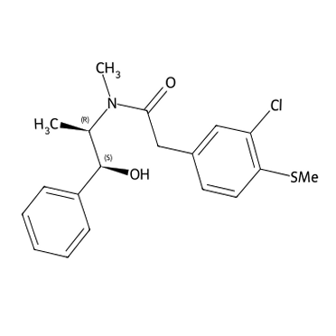 CSc1ccc(CC(=O)N(C)[C@H](C)[C@@H](O)c2ccccc2)cc1Cl